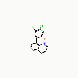 [O-][n+]1cccc2cccc(-c3ccc(Cl)c(Cl)c3)c21